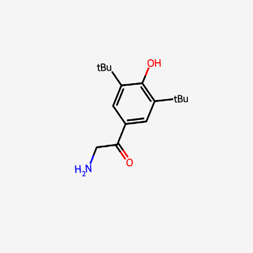 CC(C)(C)c1cc(C(=O)CN)cc(C(C)(C)C)c1O